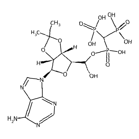 CC1(C)O[C@@H]2[C@H](O1)[C@@H](C(O)OP(=O)(O)C(P(=O)(O)O)P(=O)(O)O)O[C@H]2n1cnc2c(N)ncnc21